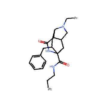 CC(C)CCNC(=O)C12CC3CN(CC(C)C)C(C3C(=O)N1)C2Cc1ccccc1